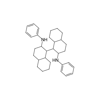 c1ccc(NC2CCC3CCCCC3C2C2C(Nc3ccccc3)CCC3CCCCC32)cc1